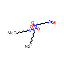 COCCCCCC/N=c1\oc(=O)n(CCCCCCN=C=O)c(=O)n1CCCCCCOC#N